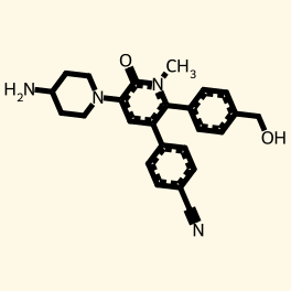 Cn1c(-c2ccc(CO)cc2)c(-c2ccc(C#N)cc2)cc(N2CCC(N)CC2)c1=O